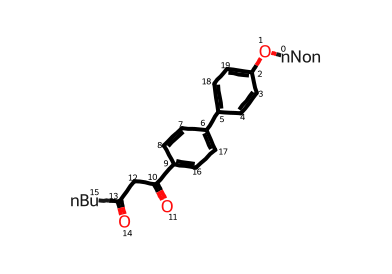 CCCCCCCCCOc1ccc(-c2ccc(C(=O)CC(=O)CCCC)cc2)cc1